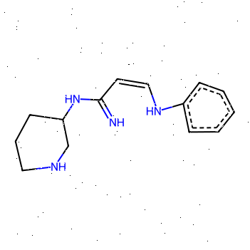 N=C(/C=C\Nc1ccccc1)NC1CCCNC1